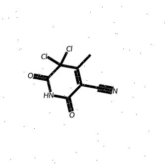 CC1=C(C#N)C(=O)NC(=O)C1(Cl)Cl